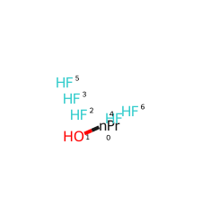 CCCO.F.F.F.F.F